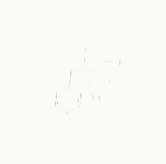 CC(=O)C(=Cc1cccc(C(F)(F)F)c1)P(=O)(OC(C)C)OC(C)C